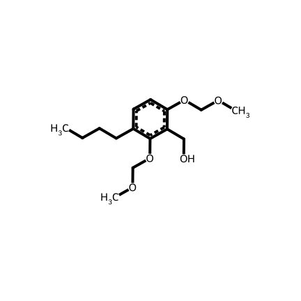 CCCCc1ccc(OCOC)c(CO)c1OCOC